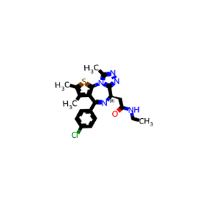 CCNC(=O)C[C@H]1N=C(c2ccc(Cl)cc2)c2c(sc(C)c2C)-n2c(C)nnc21